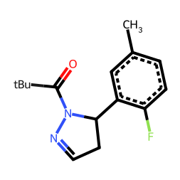 Cc1ccc(F)c(C2CC=NN2C(=O)C(C)(C)C)c1